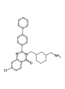 NCC1CCCC(Cn2c(-c3ccc(-c4ccccc4)cc3)nc3cc(Cl)ccc3c2=O)C1